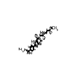 COC(=O)CCNC(=O)Cn1cnc2nc(-c3ccc(C(=N)N)cc3)[nH]c2c1=O